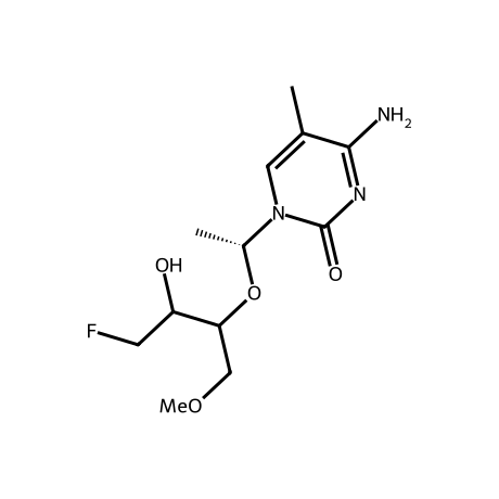 COCC(O[C@H](C)n1cc(C)c(N)nc1=O)C(O)CF